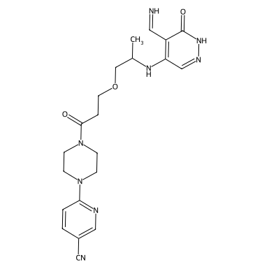 CC(COCCC(=O)N1CCN(c2ccc(C#N)cn2)CC1)Nc1cn[nH]c(=O)c1C=N